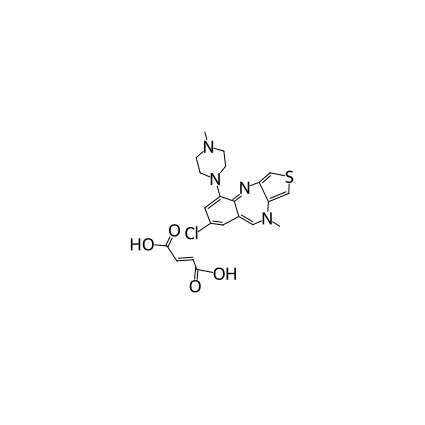 CN1CCN(c2cc(Cl)cc3c2=Nc2cscc2N(C)C=3)CC1.O=C(O)C=CC(=O)O